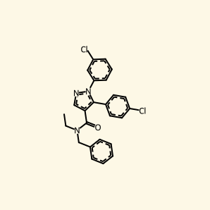 CCN(Cc1ccccc1)C(=O)c1cnn(-c2cccc(Cl)c2)c1-c1ccc(Cl)cc1